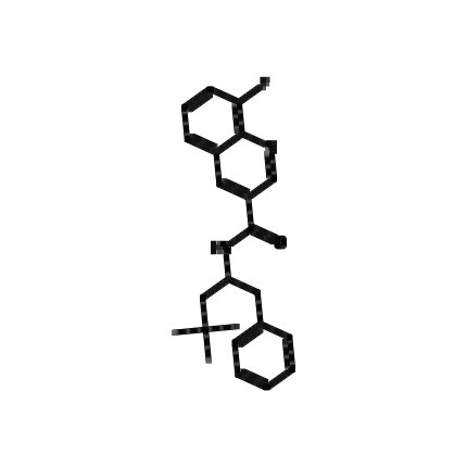 CC(C)(C)CC(Cc1ccccc1)NC(=O)c1cnc2c(F)cccc2c1